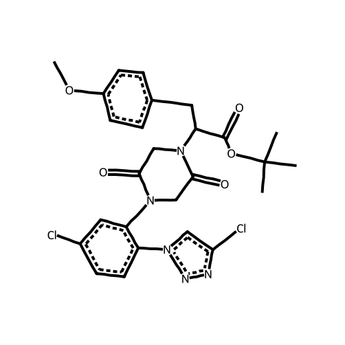 COc1ccc(CC(C(=O)OC(C)(C)C)N2CC(=O)N(c3cc(Cl)ccc3-n3cc(Cl)nn3)CC2=O)cc1